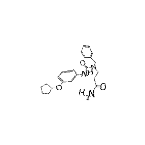 NC(=O)CCN(Cc1ccccc1)C(=O)Nc1cccc(OC2CCCC2)c1